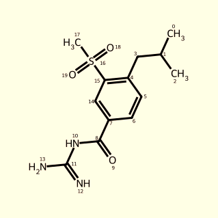 CC(C)Cc1ccc(C(=O)NC(=N)N)cc1S(C)(=O)=O